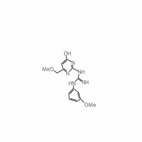 COCc1cc(O)nc(NC(=N)Nc2cccc(OC)c2)n1